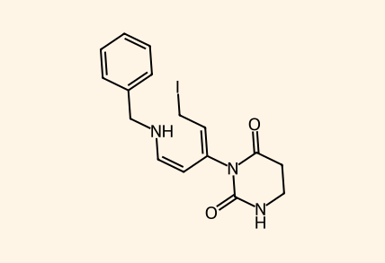 O=C1CCNC(=O)N1C(/C=C\NCc1ccccc1)=C/CI